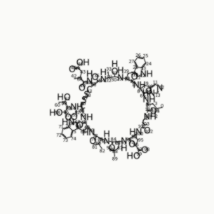 CC(C)C[C@@H]1NC(=O)[C@H](Cc2cnc[nH]2)NC(=O)[C@H](Cc2c[nH]c3ccccc23)NC(O)[C@H](C)NC(=O)[C@@H](NC(=O)[C@@H](C)CC(=O)O)CSSC[C@@H](C(=O)N[C@H](C(=O)O)[C@@H](C)O)NC(=O)[C@H](Cc2c[nH]c3ccccc23)NC(=O)[C@H](C(C)C)NC(=O)[C@H](CC(C)C)NC(=O)[C@H](CCC(=O)O)NC(=O)CNC1=O